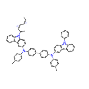 C=C(/C=C\C=C/C)n1c2ccccc2c2cc(N(c3ccc(C)cc3)c3ccc(-c4ccc(N(c5ccc(C)cc5)c5ccc6c(c5)c5ccccc5n6-c5ccccc5)cc4)cc3)ccc21